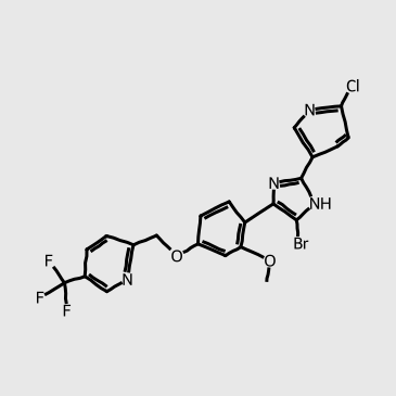 COc1cc(OCc2ccc(C(F)(F)F)cn2)ccc1-c1nc(-c2ccc(Cl)nc2)[nH]c1Br